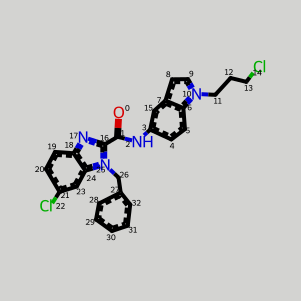 O=C(Nc1ccc2c(ccn2CCCCl)c1)c1nc2ccc(Cl)cc2n1Cc1ccccc1